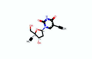 C#Cc1cn([C@H]2C[C@H](O)[C@@](C#C)(CO)O2)c(=O)[nH]c1=O